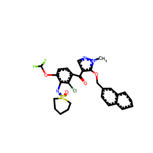 Cn1ncc(C(=O)c2ccc(OC(F)F)c(N=S3(=O)CCCCC3)c2Cl)c1OCc1ccc2ccccc2c1